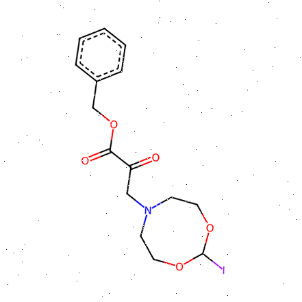 O=C(CN1CCOC(I)OCC1)C(=O)OCc1ccccc1